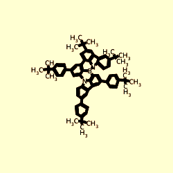 CC(C)(C)c1ccc(-c2cc3c4c(c2)-n2c5ccc(-c6ccc(C(C)(C)C)cc6)cc5c5cc(-c6ccc(C(C)(C)C)cc6)cc(c52)B4n2c4ccc(C(C)(C)C)cc4c4cc(C(C)(C)C)cc-3c42)cc1